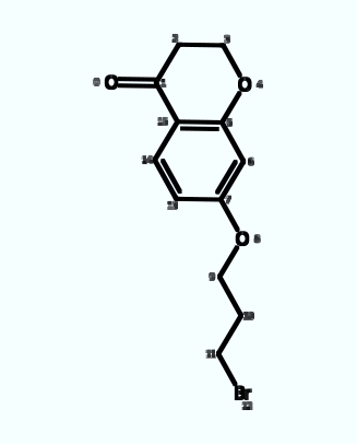 O=C1CCOc2cc(OCCCBr)ccc21